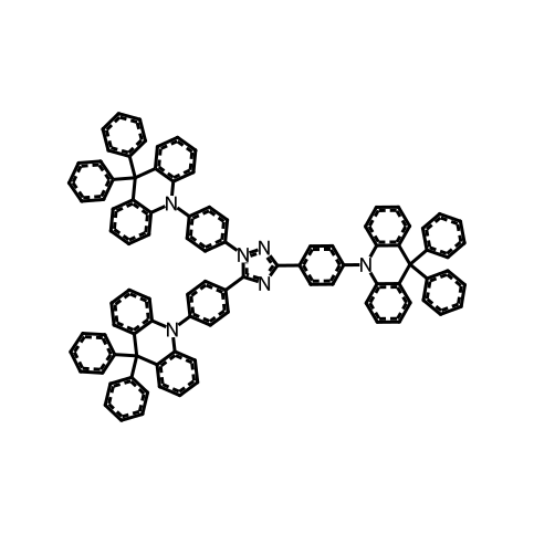 c1ccc(C2(c3ccccc3)c3ccccc3N(c3ccc(-c4nc(-c5ccc(N6c7ccccc7C(c7ccccc7)(c7ccccc7)c7ccccc76)cc5)n(-c5ccc(N6c7ccccc7C(c7ccccc7)(c7ccccc7)c7ccccc76)cc5)n4)cc3)c3ccccc32)cc1